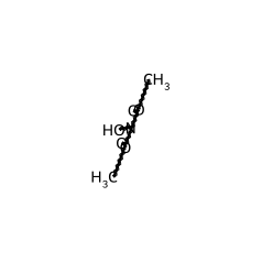 CCCCCCCCCCCOC(=O)CCCCCN(CCCO)CCCCCC(=O)OCCCCCCCCCCC